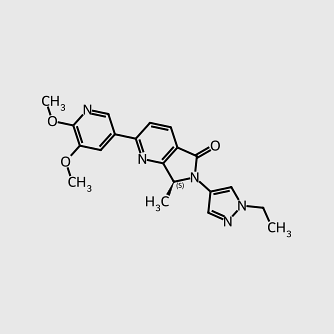 CCn1cc(N2C(=O)c3ccc(-c4cnc(OC)c(OC)c4)nc3[C@@H]2C)cn1